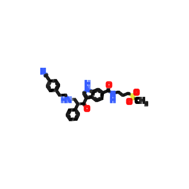 CS(=O)(=O)CCCNC(=O)c1ccc2c(C(=O)C(CNCCc3ccc(C#N)cc3)c3ccccc3)c[nH]c2c1